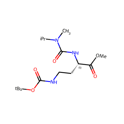 COC(=O)[C@H](CCNC(=O)OC(C)(C)C)NC(=O)N(C)C(C)C